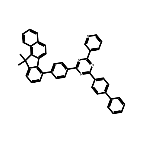 CC1(C)c2cccc(-c3ccc(-c4nc(-c5ccc(-c6ccccc6)cc5)nc(-c5cccnc5)n4)cc3)c2-c2ccc3ccccc3c21